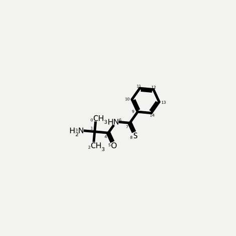 CC(C)(N)C(=O)NC(=S)c1ccccc1